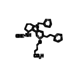 O=CNC1CCCc2c1c1cc(OCCCC(=O)O)c(CCc3ccccc3)cc1n2Cc1ccccc1